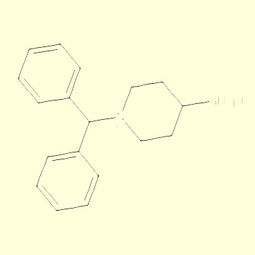 CCCCCCCC1CCN(C(c2ccccc2)c2ccccc2)CC1